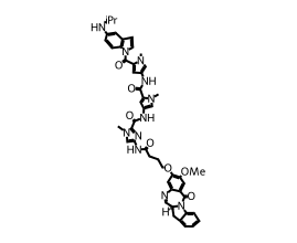 COc1cc2c(cc1OCCCC(=O)Nc1cn(C)c(C(=O)Nc3cc(C(=O)Nc4cc(C(=O)n5ccc6cc(NC(C)C)ccc65)n(C)c4)n(C)c3)n1)N=C[C@@H]1Cc3ccccc3N1C2=O